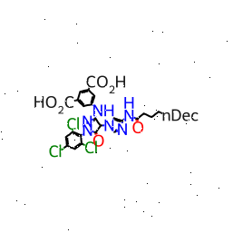 CCCCCCCCCCCCCC(=O)Nc1cn(C2C(=O)N(c3c(Cl)cc(Cl)cc3Cl)N=C2Nc2cc(C(=O)O)cc(C(=O)O)c2)cn1